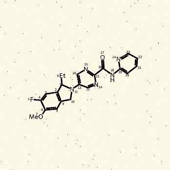 CCC1c2cc(F)c(OC)cc2CN1c1cnc(C(=O)Nc2ccccn2)nc1